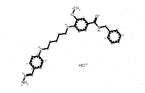 COc1cc(C(=O)NCc2ccccc2)ccc1OCCCCCOc1ccc(C=NN)cc1.Cl